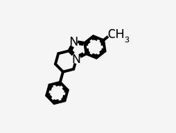 Cc1ccc2c(c1)nc1n2CC(c2ccccc2)CC1